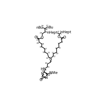 CCCCCCCC(CCCCCCC)OC(=O)CCCCCCCN(CCCCCCCC(=O)OCCC(CCCC)CCCC)CCCNc1n[s+]([O-])nc1NC